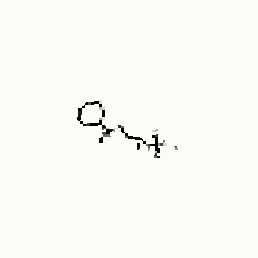 O=C(OCCNS(=O)(=O)C(F)(F)F)C1CCCCCC1